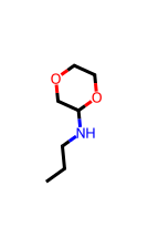 CCCNC1COCCO1